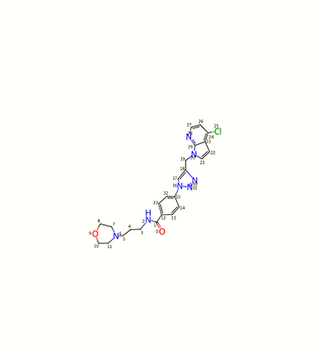 O=C(NCCCN1CCOCC1)c1ccc(-n2cc(Cn3ccc4c(Cl)ccnc43)nn2)cc1